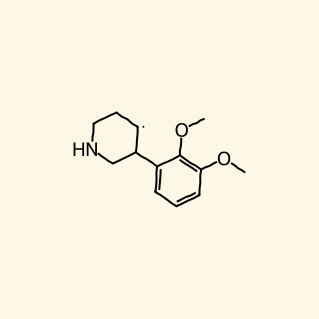 COc1cccc(C2[CH]CCNC2)c1OC